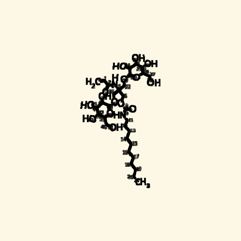 C=CC(=O)NC(COC(=O)NCCCCCCCCCCC)(CO[C@@H]1OC(CO)[C@@H](O)[C@H](O)C1O)CO[C@@H]1OC(CO)[C@@H](O)[C@H](O)C1O